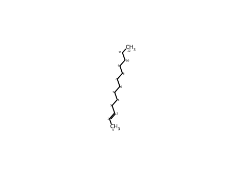 CC=CCCCCCCCCCC